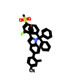 Cc1cc(C#N)ccc1-c1ccc2c(c1)cc(-c1ccc(S(C)(=O)=O)cc1F)n2C(c1ccccc1)(c1ccccc1)c1ccccc1